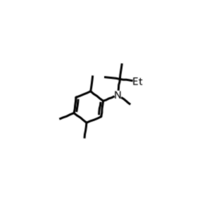 CCC(C)(C)N(C)C1=CC(C)C(C)=CC1C